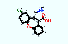 CNC[C@H]1c2cc(Cl)ccc2Oc2ccccc2[C@@H]1C(=O)O